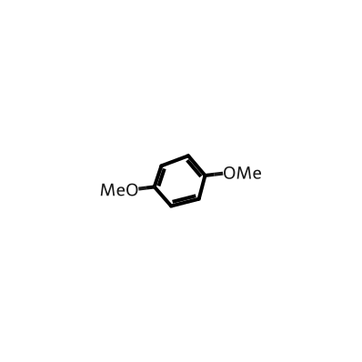 [CH2-][OH+]c1ccc(OC)cc1